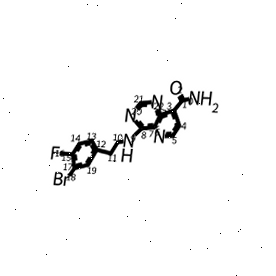 NC(=O)c1ccnc2c(NCCc3ccc(F)c(Br)c3)ncnc12